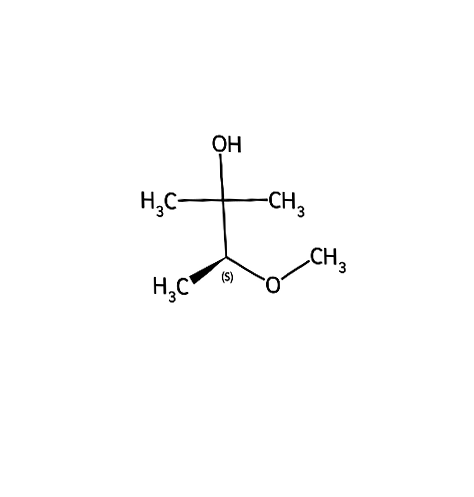 CO[C@@H](C)C(C)(C)O